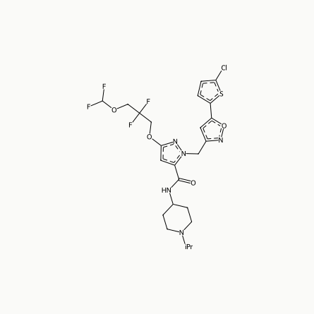 CC(C)N1CCC(NC(=O)c2cc(OCC(F)(F)COC(F)F)nn2Cc2cc(-c3ccc(Cl)s3)on2)CC1